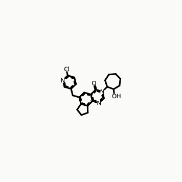 O=c1c2cc(Cc3ccc(Cl)nc3)c3c(c2ncn1C1CCCCCC1O)CCC3